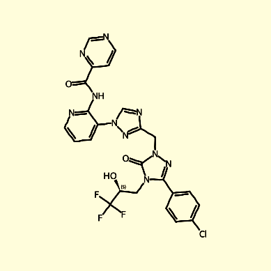 O=C(Nc1ncccc1-n1cnc(Cn2nc(-c3ccc(Cl)cc3)n(C[C@H](O)C(F)(F)F)c2=O)n1)c1ccncn1